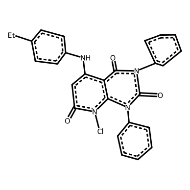 CCc1ccc(Nc2cc(=O)n(Cl)c3c2c(=O)n(-c2ccccc2)c(=O)n3-c2ccccc2)cc1